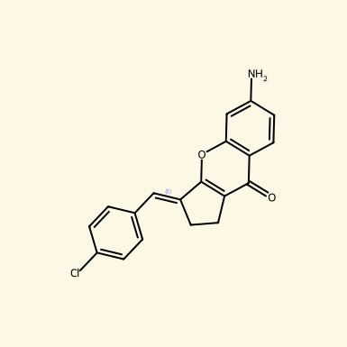 Nc1ccc2c(=O)c3c(oc2c1)/C(=C/c1ccc(Cl)cc1)CC3